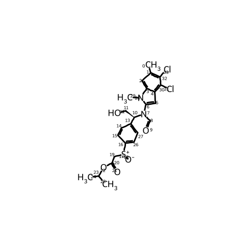 Cc1cc2c(cc(N(C=O)[C@H](CO)c3ccc([S+]([O-])CC(=O)OC(C)C)cc3)n2C)c(Cl)c1Cl